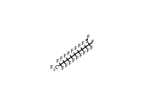 FSC(F)(F)C(F)(F)C(F)(F)C(F)(F)C(F)(F)C(F)(F)C(F)(F)C(F)(F)C(F)(F)C(F)(F)F